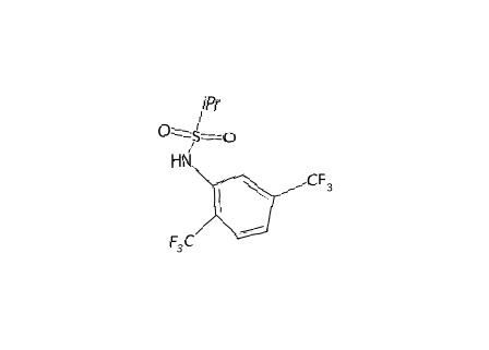 CC(C)S(=O)(=O)Nc1cc(C(F)(F)F)ccc1C(F)(F)F